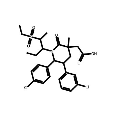 CCC(C(C)S(=O)(=O)CC)N1C(=O)C(C)(CC(=O)O)CC(c2cccc(Cl)c2)C1c1ccc(Cl)cc1